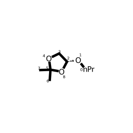 CCCO[C@H]1COC(C)(C)O1